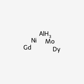 [AlH3].[Dy].[Gd].[Mo].[Ni]